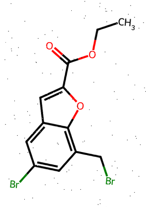 CCOC(=O)c1cc2cc(Br)cc(CBr)c2o1